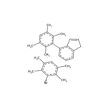 Cc1cc(C)c(C)c(-c2cccc3c2C=CC3)c1C.Cc1cc(C)c(C)c(Br)c1C